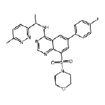 Cc1ccc(C(C)Nc2ncnc3c(S(=O)(=O)N4CCOCC4)cc(-c4ccc(F)cc4)cc23)nn1